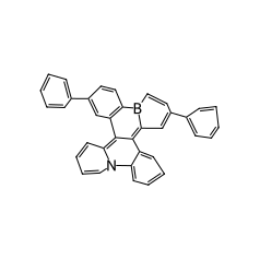 C1=CC2=C3C(=C4C=C(c5ccccc5)C=CB4c4ccc(-c5ccccc5)cc43)c3ccccc3N2C=C1